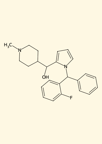 CN1CCC(C(O)c2cccn2C(c2ccccc2)c2ccccc2F)CC1